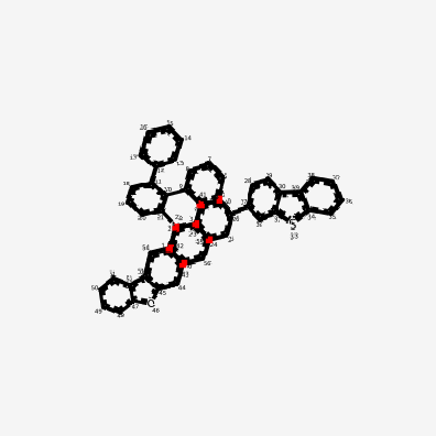 c1ccc(-c2ccccc2-c2c(-c3ccccc3)cccc2N(c2ccc(-c3ccc4c(c3)sc3ccccc34)cc2)c2ccc3oc4ccccc4c3c2)cc1